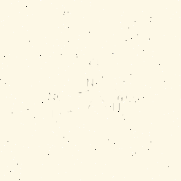 C=C1CC=C2C(=C)C(C[C@@H]3CCO3)C(CCl)=NC2=CC1C#N